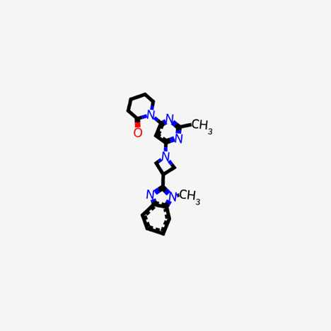 Cc1nc(N2CC(c3nc4ccccc4n3C)C2)cc(N2CCCCC2=O)n1